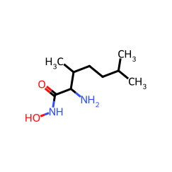 CC(C)CCC(C)C(N)C(=O)NO